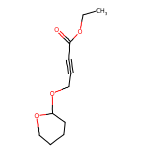 CCOC(=O)C#CCOC1CCCCO1